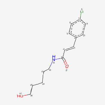 O=C(/C=C/c1ccc(Cl)cc1)NCCCCCO